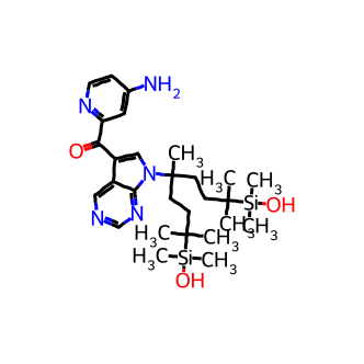 CC(CCC(C)(C)[Si](C)(C)O)(CCC(C)(C)[Si](C)(C)O)n1cc(C(=O)c2cc(N)ccn2)c2cncnc21